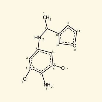 CC(Nc1c[n+]([O-])c(N)[n+]([O-])c1)c1ccoc1